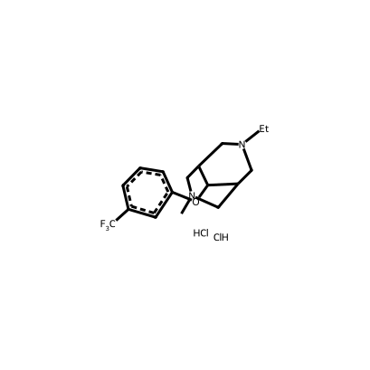 CCN1CC2CN(C)CC(C1)C2Oc1cccc(C(F)(F)F)c1.Cl.Cl